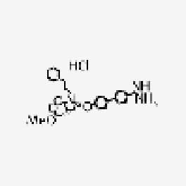 COC(=O)C[C@H]1C[C@@H](COc2ccc(-c3ccc(C(=N)N)cc3)cc2)N(CCCc2ccccc2)C1=O.Cl